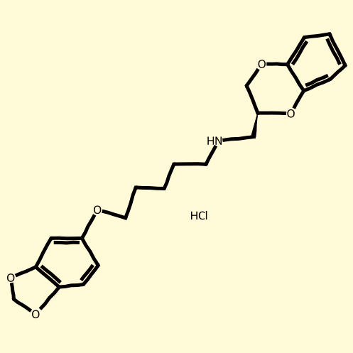 Cl.c1ccc2c(c1)OC[C@H](CNCCCCCOc1ccc3c(c1)OCO3)O2